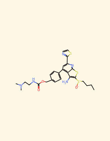 CCCC[S+]([O-])c1sc2nc(-c3nccs3)cc(-c3ccc(COC(=O)NCCN(C)C)cc3)c2c1N